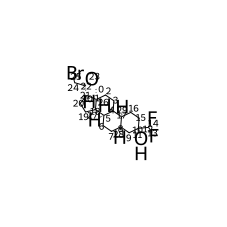 C[C@]12CC[C@H]3[C@@H](CC[C@H]4C[C@@](O)(C(F)F)CC[C@@H]43)[C@@H]1CC[C@@H]2C(=O)CBr